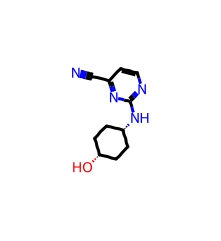 N#Cc1ccnc(N[C@H]2CC[C@@H](O)CC2)n1